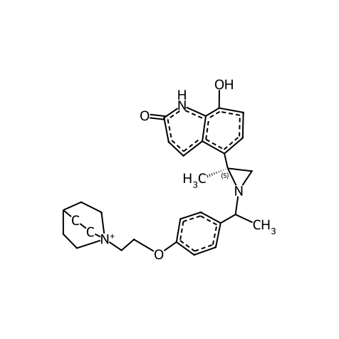 CC(c1ccc(OCC[N+]23CCC(CC2)CC3)cc1)N1C[C@]1(C)c1ccc(O)c2[nH]c(=O)ccc12